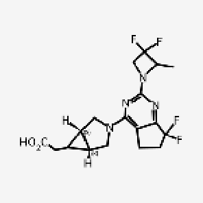 CC1N(c2nc(N3C[C@@H]4C(CC(=O)O)[C@@H]4C3)c3c(n2)C(F)(F)CC3)CC1(F)F